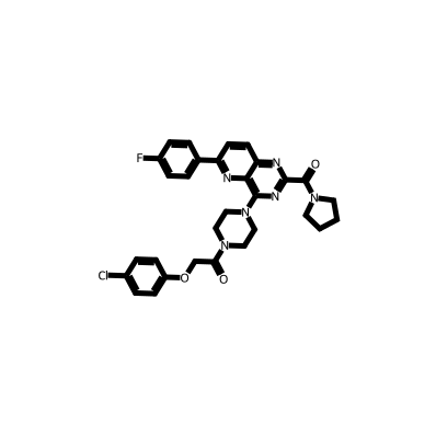 O=C(COc1ccc(Cl)cc1)N1CCN(c2nc(C(=O)N3CCCC3)nc3ccc(-c4ccc(F)cc4)nc23)CC1